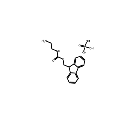 NCCNC(=O)OCC1c2ccccc2-c2ccccc21.O=P(O)(O)O